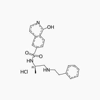 C[C@H](CNCCc1ccccc1)NS(=O)(=O)c1ccc2c(O)nccc2c1.Cl